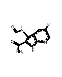 NC(=O)c1[nH]c2ncc(Br)cc2c1NC=O